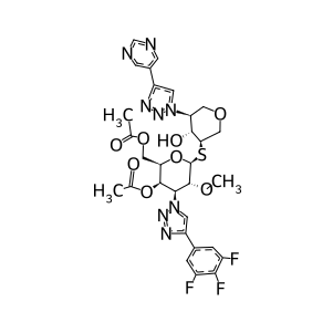 CO[C@@H]1[C@@H](n2cc(-c3cc(F)c(F)c(F)c3)nn2)[C@@H](OC(C)=O)[C@@H](COC(C)=O)O[C@H]1S[C@@H]1COC[C@H](n2cc(-c3cncnc3)nn2)[C@H]1O